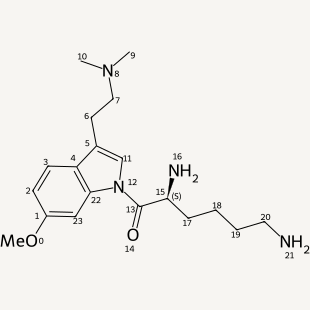 COc1ccc2c(CCN(C)C)cn(C(=O)[C@@H](N)CCCCN)c2c1